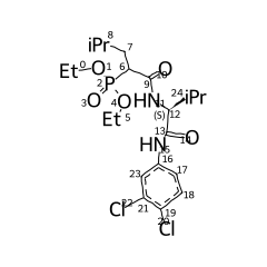 CCOP(=O)(OCC)C(CC(C)C)C(=O)N[C@H](C(=O)Nc1ccc(Cl)c(Cl)c1)C(C)C